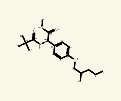 CCCC(C)COc1ccc([C@@H](NC(=O)C(C)(C)C)C(=O)OC)cc1